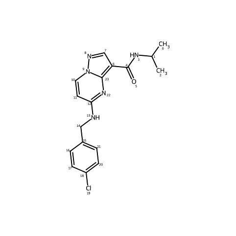 CC(C)NC(=O)c1cnn2ccc(NCc3ccc(Cl)cc3)nc12